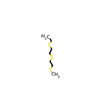 [CH2]CSCCSCCSC